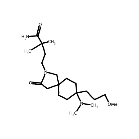 COCCCC1(N(C)C)CCC2(CC1)CC(=O)N(CCC(C)(C)C(N)=O)C2